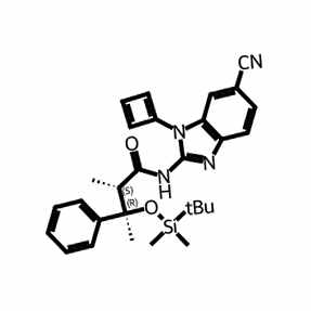 C[C@H](C(=O)Nc1nc2ccc(C#N)cc2n1C1=CC=C1)[C@@](C)(O[Si](C)(C)C(C)(C)C)c1ccccc1